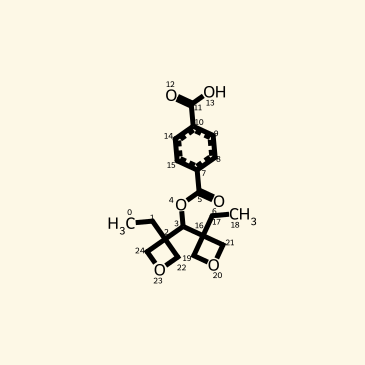 CCC1(C(OC(=O)c2ccc(C(=O)O)cc2)C2(CC)COC2)COC1